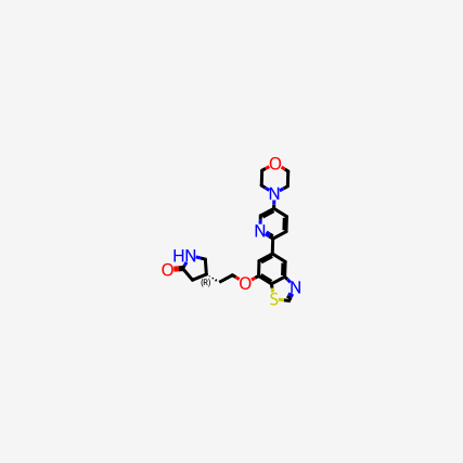 O=C1C[C@@H](CCOc2cc(-c3ccc(N4CCOCC4)cn3)cc3ncsc23)CN1